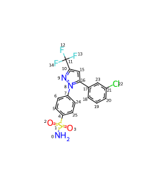 NS(=O)(=O)c1ccc(-n2nc(C(F)(F)F)cc2-c2cccc(Cl)c2)cc1